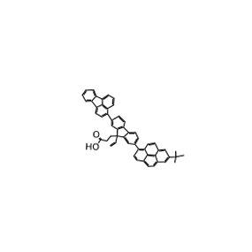 C=CC1(CCC(=O)O)c2cc(-c3ccc4c5c(cccc35)-c3ccccc3-4)ccc2-c2ccc(-c3ccc4ccc5cc(C(C)(C)C)cc6ccc3c4c56)cc21